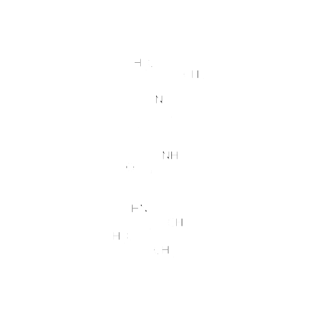 CC(C)N1CC[C@@H](NC(=O)CNC(C)(C)C)C1